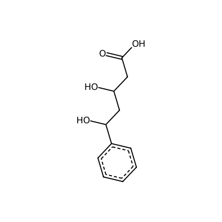 O=C(O)CC(O)CC(O)c1ccccc1